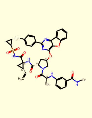 C=C[C@@H]1C[C@]1(NC(=O)[C@@H]1C[C@@H](Oc2nc(-c3ccc(C(F)(F)F)cc3)nc3c2oc2ccccc23)CN1C(=O)[C@@H](Nc1cccc(C(=O)NC(C)C)c1)C(C)(C)C)C(=O)NS(=O)(=O)C1CC1